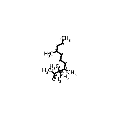 CCCC(C)C[CH]CC(C)C(C)(C)C(C)C